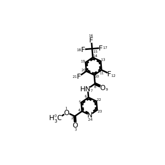 COC(=O)c1cc(NC(=O)c2c(F)cc(C(F)(F)F)cc2F)ccn1